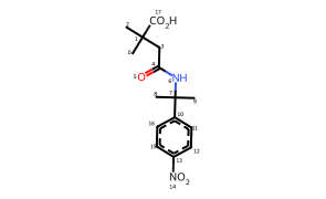 CC(C)(CC(=O)NC(C)(C)c1ccc([N+](=O)[O-])cc1)C(=O)O